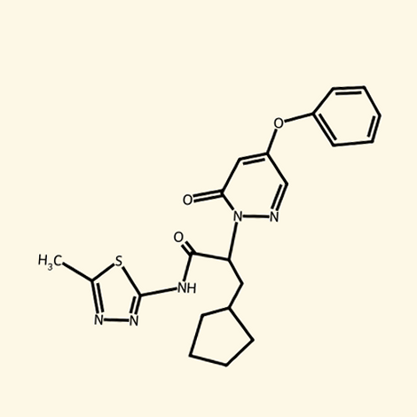 Cc1nnc(NC(=O)C(CC2CCCC2)n2ncc(Oc3ccccc3)cc2=O)s1